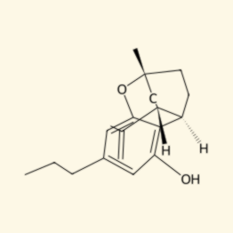 C=C(C)[C@@H]1C[C@@]2(C)CC[C@H]1c1c(O)cc(CCC)cc1O2